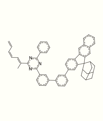 C=C/C=C\C=C(/C)c1nc(-c2ccccc2)nc(-c2cccc(-c3cccc(-c4ccc5c(c4)C4(c6cc7ccccc7cc6-5)C5CC6CC(C5)CC4C6)c3)c2)n1